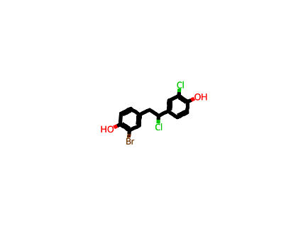 Oc1ccc(C(Cl)Cc2ccc(O)c(Br)c2)cc1Cl